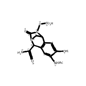 CC(=O)Nc1cc2c(cc1O)C1CN(C(=O)N1OS(=O)(=O)O)C2C(N)=O